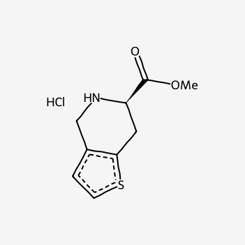 COC(=O)[C@H]1Cc2sccc2CN1.Cl